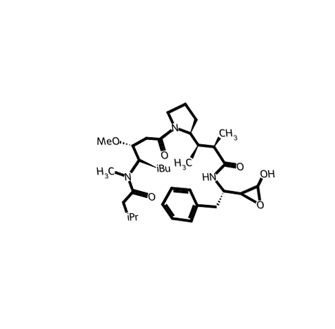 CC[C@H](C)C([C@@H](CC(=O)N1CCC[C@H]1[C@H](C)[C@@H](C)C(=O)N[C@@H](Cc1ccccc1)C1OC1O)OC)N(C)C(=O)CC(C)C